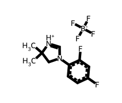 CC1(C)CN(c2ccc(F)cc2F)C=[NH+]1.F[B-](F)(F)F